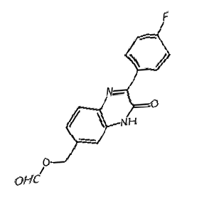 O=COCc1ccc2nc(-c3ccc(F)cc3)c(=O)[nH]c2c1